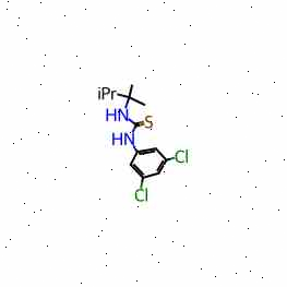 CC(C)C(C)(C)NC(=S)Nc1cc(Cl)cc(Cl)c1